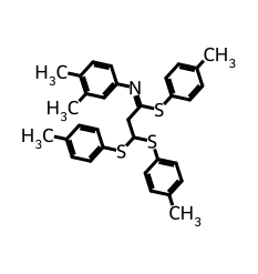 Cc1ccc(SC(CC(Sc2ccc(C)cc2)Sc2ccc(C)cc2)=Nc2ccc(C)c(C)c2)cc1